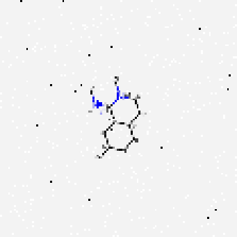 C/N=C1/C2CC(C)CCC2CCN1C